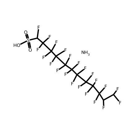 N.O=S(=O)(O)C(F)C(F)(F)C(F)(F)C(F)(F)C(F)(F)C(F)(F)C(F)(F)C(F)(F)C(F)(F)C(F)(F)C(F)C(F)F